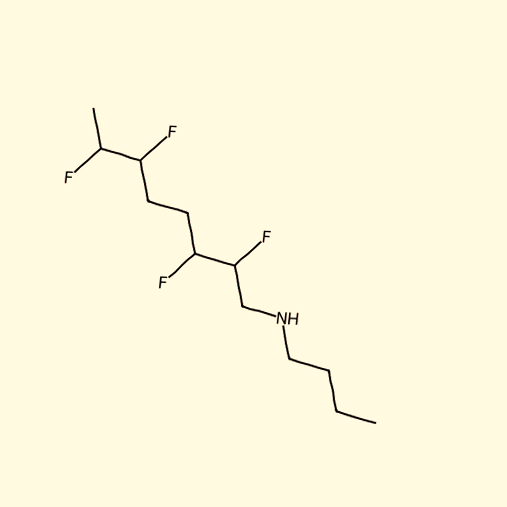 CCCCNCC(F)C(F)CCC(F)C(C)F